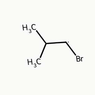 CC(C)[CH]Br